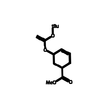 C=C(OC1C=CCC(C(=O)OC)C1)OC(C)(C)C